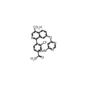 CNc1cc(Oc2ccc3c(C(=O)O)cnc(-c4ccc(C(N)=O)cc4C(F)(F)F)c3c2)ncn1